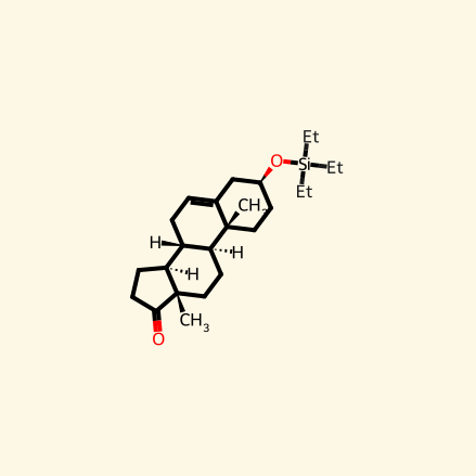 CC[Si](CC)(CC)O[C@H]1CC[C@@]2(C)C(=CC[C@@H]3[C@@H]2CC[C@]2(C)C(=O)CC[C@@H]32)C1